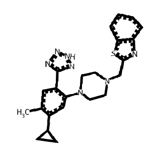 Cc1cc(-c2nn[nH]n2)c(N2CCN(Cc3nc4ccccc4s3)CC2)cc1C1CC1